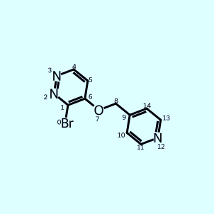 Brc1nnccc1OCc1ccncc1